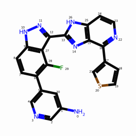 Nc1cncc(-c2ccc3[nH]nc(-c4nc5c(-c6ccsc6)nccc5[nH]4)c3c2F)c1